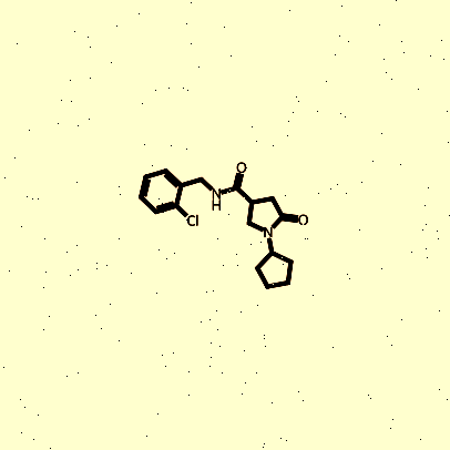 O=C(NCc1ccccc1Cl)C1CC(=O)N(C2CCCC2)C1